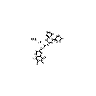 Cl.Cl.Cl.Cn1c(=O)c2cc(OCCCN(CCc3cccnc3)Cc3ccncc3)ccc2n(C)c1=O